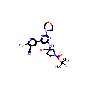 Cc1ncc(-c2cc(N[C@@]3(CO)CCN(C(=O)OC(C)(C)C)C3)nc(N3CCOCC3)n2)cc1C#N